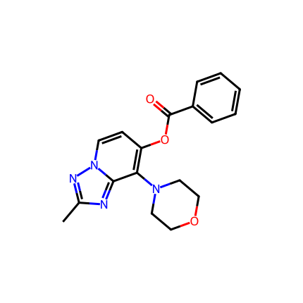 Cc1nc2c(N3CCOCC3)c(OC(=O)c3ccccc3)ccn2n1